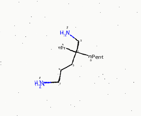 CCCCCC(CN)(CCC)CCCN